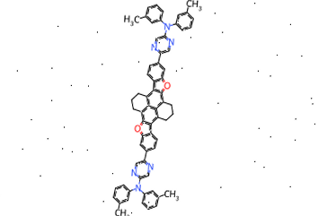 Cc1cccc(N(c2cccc(C)c2)c2cnc(-c3ccc4c(c3)oc3c5c6c(c7c(oc8cc(-c9cnc(N(c%10cccc(C)c%10)c%10cccc(C)c%10)cn9)ccc87)c7c6c(c34)CCC7)CCC5)cn2)c1